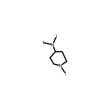 IN1CCC(N(I)I)CC1